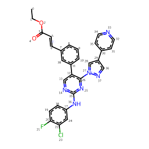 CCOC(=O)/C=C/c1cccc(-c2cnc(Nc3ccc(F)c(Cl)c3)nc2-n2cc(-c3ccncc3)cn2)c1